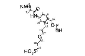 CNC(C)C(=O)Nc1ccc(COC=N)c(CCCOCCCS(=O)(=O)O)c1